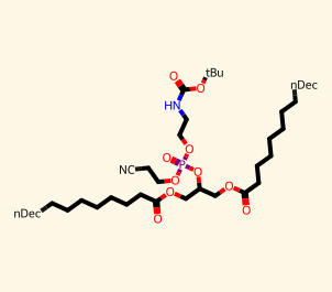 CCCCCCCCCCCCCCCCCC(=O)OCC(COC(=O)CCCCCCCCCCCCCCCCC)OP(=O)(OCCC#N)OCCNC(=O)OC(C)(C)C